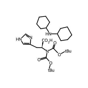 C1CCC(NC2CCCCC2)CC1.CC(C)(C)OC(=O)N(C(=O)OC(C)(C)C)[C@@H](Cc1c[nH]cn1)C(=O)O